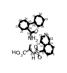 C[C@H](NS(=O)(=O)c1cccc2cnccc12)C(=O)O.NC(=O)c1ccccc1-c1ccccc1